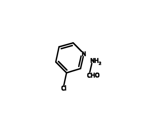 Clc1cccnc1.NC=O